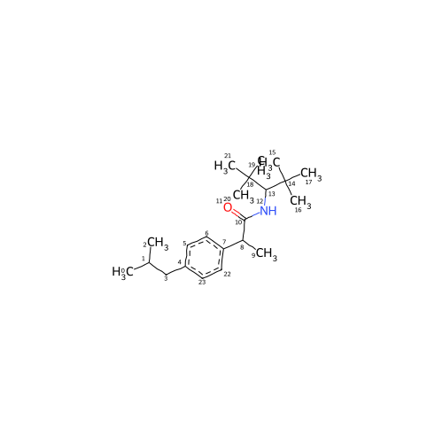 CC(C)Cc1ccc(C(C)C(=O)NC(C(C)(C)C)C(C)(C)C)cc1